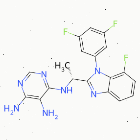 C[C@@H](Nc1ncnc(N)c1N)c1nc2cccc(F)c2n1-c1cc(F)cc(F)c1